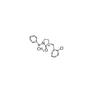 C[C@H](c1ccccc1)N1CC[C@@H](Cc2ccccc2Cl)C1=O